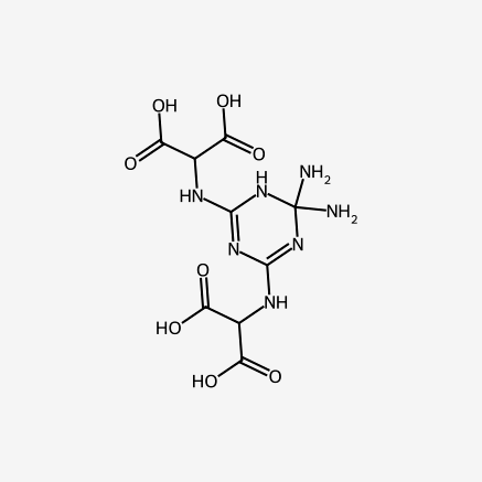 NC1(N)N=C(NC(C(=O)O)C(=O)O)N=C(NC(C(=O)O)C(=O)O)N1